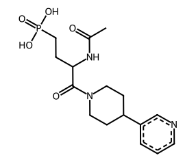 CC(=O)NC(CCP(=O)(O)O)C(=O)N1CCC(c2cccnc2)CC1